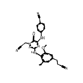 COc1cc(CCC#N)cc(C)c1Nc1nc(Nc2ccc(C#N)cc2)c(=O)n(CC#N)n1